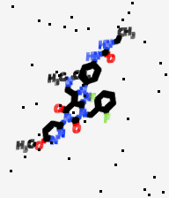 CCNC(=O)Nc1ccc(-n2nc3c(c2CN(C)C)c(=O)n(-c2ccc(OC)nn2)c(=O)n3Cc2c(F)cccc2F)cc1